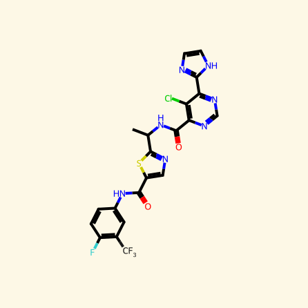 CC(NC(=O)c1ncnc(-c2ncc[nH]2)c1Cl)c1ncc(C(=O)Nc2ccc(F)c(C(F)(F)F)c2)s1